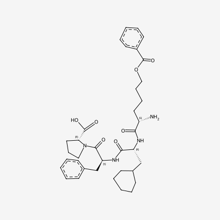 N[C@@H](CCCCOC(=O)c1ccccc1)C(=O)N[C@H](CC1CCCCC1)C(=O)N[C@@H](Cc1ccccc1)C(=O)N1CCC[C@@H]1C(=O)O